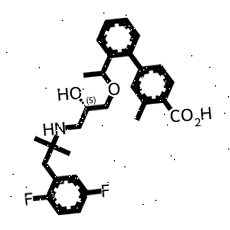 Cc1cc(-c2ccccc2C(C)OC[C@@H](O)CNC(C)(C)Cc2cc(F)ccc2F)ccc1C(=O)O